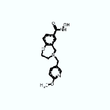 COc1ccc(CN2CCOc3ccc(C(=O)NO)cc3C2)cn1